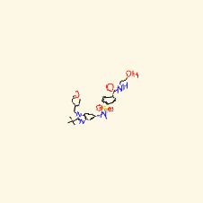 CN(c1ccc2c(c1)nc(C(C)(C)C)n2CC1CCOCC1)S(=O)(=O)c1ccc(C(=O)NCCO)cc1